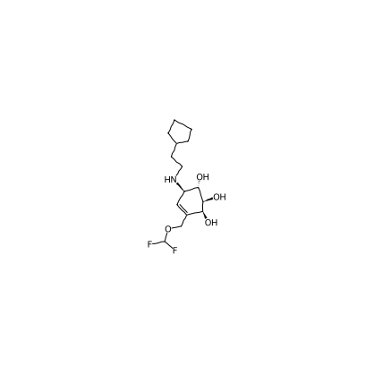 O[C@@H]1[C@@H](O)[C@@H](O)C(COC(F)F)=C[C@H]1NCCC1CCCC1